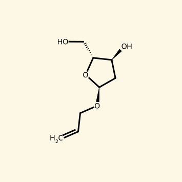 C=CCO[C@@H]1C[C@H](O)[C@@H](CO)O1